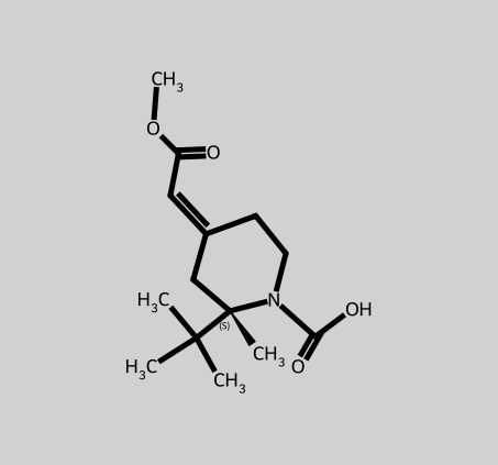 COC(=O)C=C1CCN(C(=O)O)[C@](C)(C(C)(C)C)C1